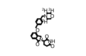 [2H]C1OCC([2H])N(Cc2ccc(COc3cccc4c3CN(C3CCC(=O)NC3=O)C4=O)cc2)C1[2H]